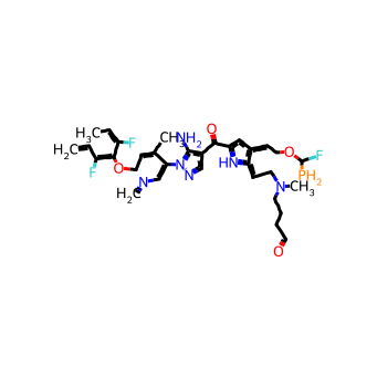 C=C/C(F)=C(OC/C=C(C)\C(=C/N=C)n1ncc(C(=O)c2cc(=C/COC(F)P)/c(=C\CN(C)CCCC=O)[nH]2)c1N)\C(F)=C/C